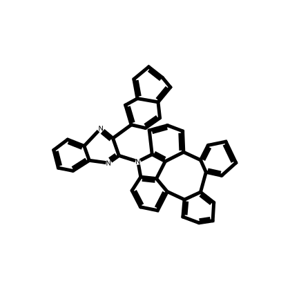 c1ccc2cc(-c3nc4ccccc4nc3-n3c4cccc5c6ccccc6c6ccccc6c6cccc3c6c54)ccc2c1